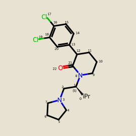 CC(C)[C@@H](CN1CCCC1)N1CCCC(c2ccc(Cl)c(Cl)c2)C1=O